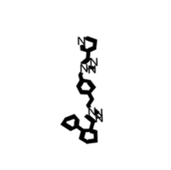 c1ccc(-c2ccccc2-c2cn(CCc3ccc(Cn4cc(-c5cccnc5)nn4)cc3)nn2)cc1